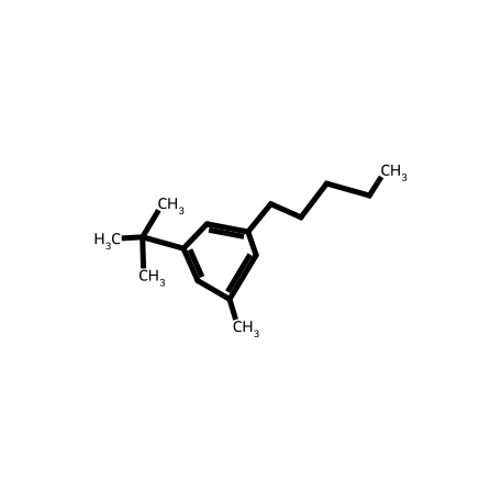 CCCCCc1cc(C)cc(C(C)(C)C)c1